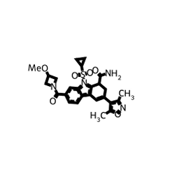 COC1CN(C(=O)c2ccc3c4c(n(S(=O)(=O)C5CC5)c3c2)C(C(N)=O)CC(c2c(C)noc2C)=C4)C1